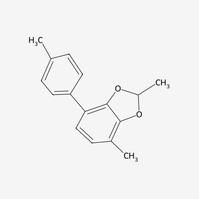 Cc1ccc(-c2ccc(C)c3c2OC(C)O3)cc1